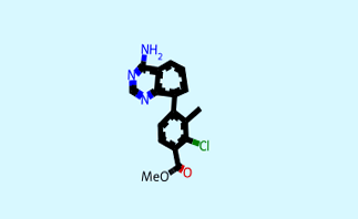 COC(=O)c1ccc(-c2cccc3c(N)ncnc23)c(C)c1Cl